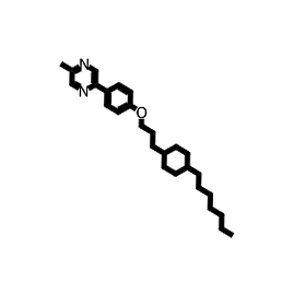 CCCCCCCC1CCC(CCCOc2ccc(-c3cnc(C)cn3)cc2)CC1